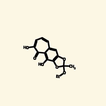 CCOC1(C)Oc2cc3cccc(O)c(=O)c3c(O)c2O1